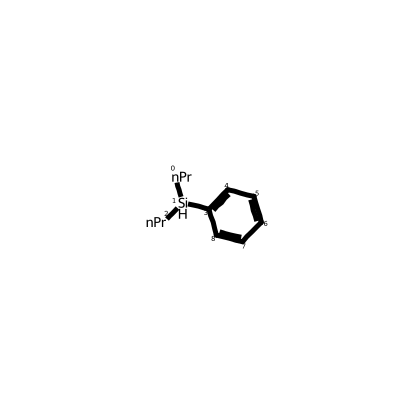 CCC[SiH](CCC)c1ccccc1